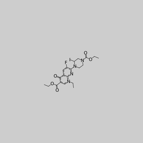 CCOC(=O)c1cn(CC)c2nc(N3CCN(C(=O)OCC)CC3I)c(F)cc2c1=O